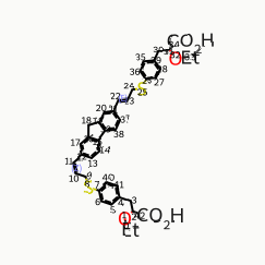 CCOC(Cc1ccc(SC/C=C\c2ccc3c(c2)Cc2cc(/C=C/CSc4ccc(CC(OCC)C(=O)O)cc4)ccc2-3)cc1)C(=O)O